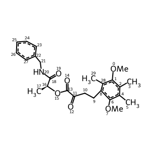 COc1c(C)c(C)c(OC)c(CCC(=O)C(=O)O[C@@H](C)C(=O)NCc2ccccc2)c1C